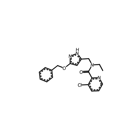 CCN(Cc1cc(OCc2ccccc2)n[nH]1)C(=O)c1ncccc1Cl